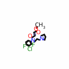 CCOC(=O)/C=C/C(=O)N(CCCN1CCCC1)c1ccc(F)c(Cl)c1F